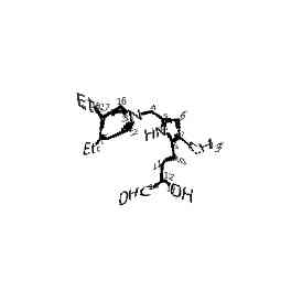 CCc1cn(Cc2cc(C)c(CCC(O)C=O)[nH]2)cc1CC